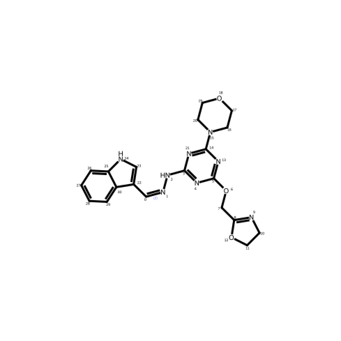 C(=N/Nc1nc(OCC2=NCCO2)nc(N2CCOCC2)n1)/c1c[nH]c2ccccc12